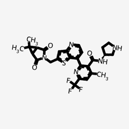 Cc1cc(C(F)(F)F)nc(-c2ccnc3cc(CN4C(=O)C5C(C4=O)C5(C)C)sc23)c1C(=O)N[C@H]1CCNC1